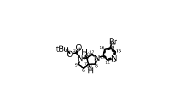 CC(C)(C)OC(=O)N1CC[C@H]2CN(c3cncc(Br)c3)C[C@H]21